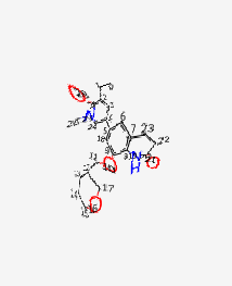 CCc1cc(-c2cc3c(c(OCC4CCCOC4)c2)NC(=O)CC3)cn(C)c1=O